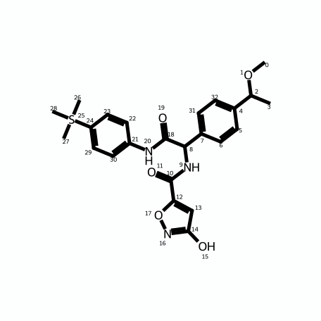 COC(C)c1ccc(C(NC(=O)c2cc(O)no2)C(=O)Nc2ccc(S(C)(C)C)cc2)cc1